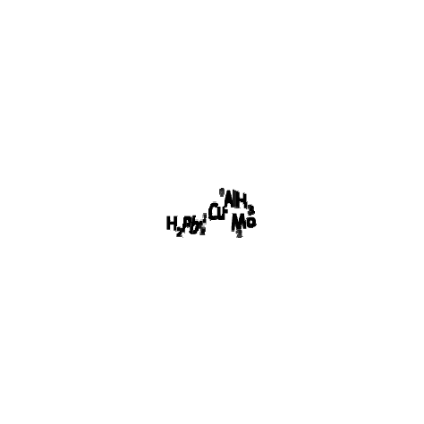 [AlH3].[Cu].[Mo].[PbH2]